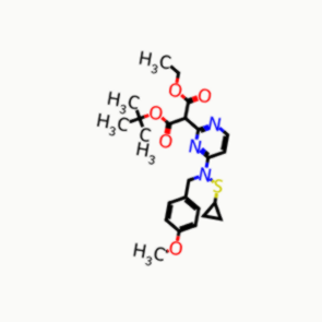 CCOC(=O)C(C(=O)OC(C)(C)C)c1nccc(N(Cc2ccc(OC)cc2)SC2CC2)n1